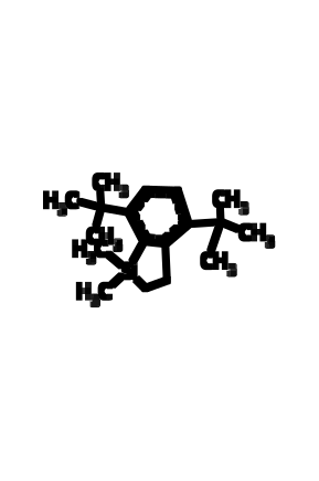 CC(C)(C)c1ccc(C(C)(C)C)c2c1CC[Si]2(C)C